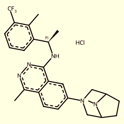 Cc1c([C@@H](C)Nc2nnc(C)c3ccc(N4CC5CCC(C4)N5C)cc23)cccc1C(F)(F)F.Cl